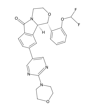 O=C1c2ccc(-c3cnc(N4CCOCC4)nc3)cc2[C@@H]2[C@@H](c3ccccc3OC(F)F)OCCN12